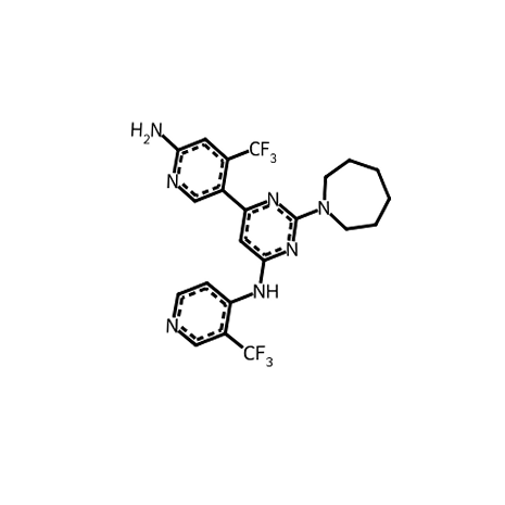 Nc1cc(C(F)(F)F)c(-c2cc(Nc3ccncc3C(F)(F)F)nc(N3CCCCCC3)n2)cn1